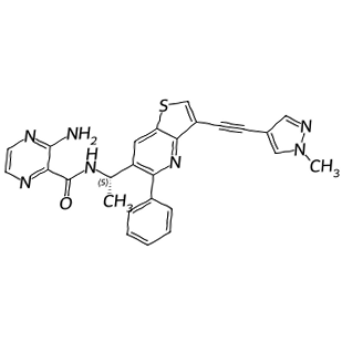 C[C@H](NC(=O)c1nccnc1N)c1cc2scc(C#Cc3cnn(C)c3)c2nc1-c1ccccc1